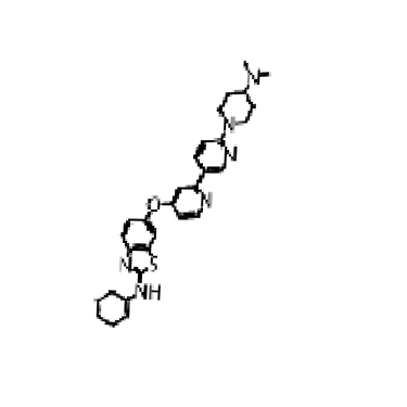 CN(C)C1CCN(c2ccc(-c3cc(Oc4ccc5nc(NC6CCCCC6)sc5c4)ccn3)cn2)CC1